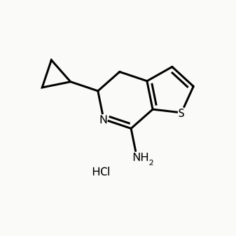 Cl.NC1=NC(C2CC2)Cc2ccsc21